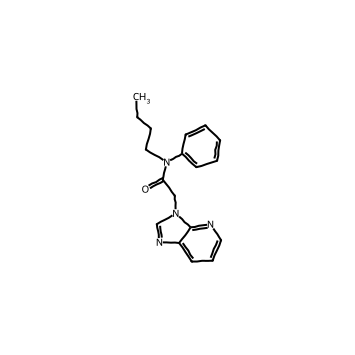 CCCCN(C(=O)Cn1cnc2cccnc21)c1ccccc1